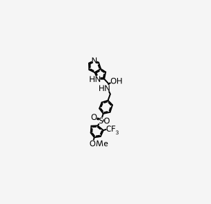 COc1ccc(S(=O)(=O)c2ccc(CNC(O)c3cc4cnccc4[nH]3)cc2)c(C(F)(F)F)c1